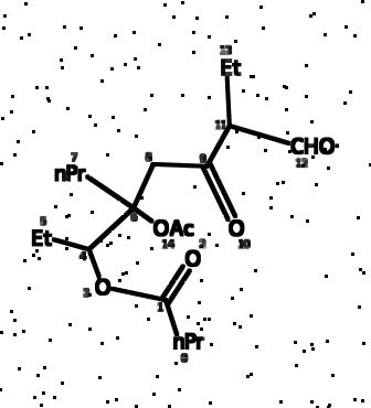 CCCC(=O)OC(CC)C(CCC)(CC(=O)C([C]=O)CC)OC(C)=O